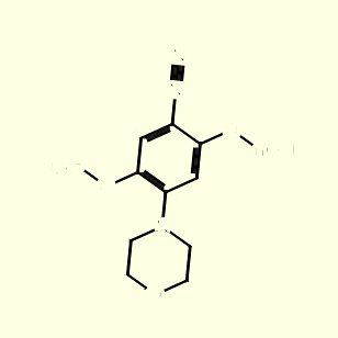 CCCCCCCCOc1cc(N2CCOCC2)c(OCCCCCCCC)cc1[N+]#N